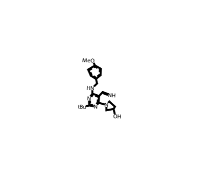 COc1ccc(CNc2nc(C(C)(C)C)nc(N3CCC(O)C3)c2C=N)cc1